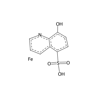 O=S(=O)(O)c1ccc(O)c2ncccc12.[Fe]